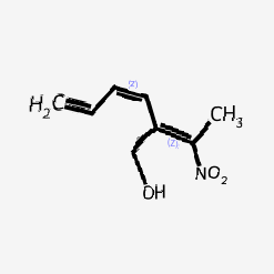 C=C/C=C\C(CO)=C(/C)[N+](=O)[O-]